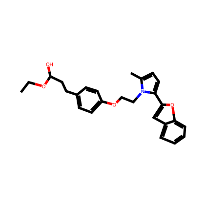 CCOC(O)CCc1ccc(OCCn2c(C)ccc2-c2cc3ccccc3o2)cc1